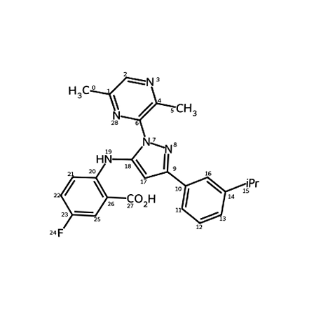 Cc1cnc(C)c(-n2nc(-c3cccc(C(C)C)c3)cc2Nc2ccc(F)cc2C(=O)O)n1